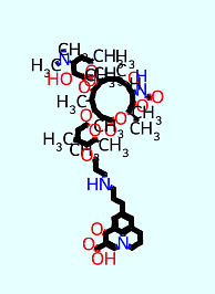 CC[C@H]1OC(=O)[C@H](C)[C@@H](O[C@H]2CC(C)(C)[C@@H](OCCCNCCCc3cc4c5c(c3)c(=O)c(C(=O)O)cn5CCC4)[C@H](C)O2)[C@H](C)[C@@H](O[C@@H]2O[C@H](C)C[C@H](N(C)C)[C@H]2O)[C@](C)(OC)C[C@@H](C)C(=O)[C@H]2NC(=O)O[C@@]21C